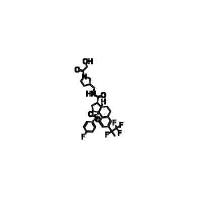 CC(F)(c1ccc2c(c1)CC[C@H]1[C@H](C(=O)NCC3CCN(C(=O)CO)C3)CC[C@@]21S(=O)(=O)c1ccc(F)cc1)C(F)(F)F